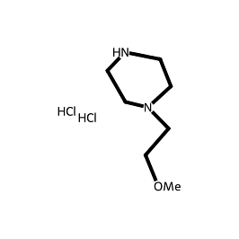 COCCN1CCNCC1.Cl.Cl